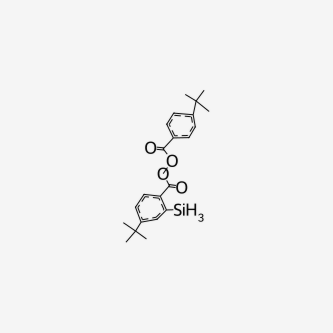 CC(C)(C)c1ccc(C(=O)OOC(=O)c2ccc(C(C)(C)C)cc2[SiH3])cc1